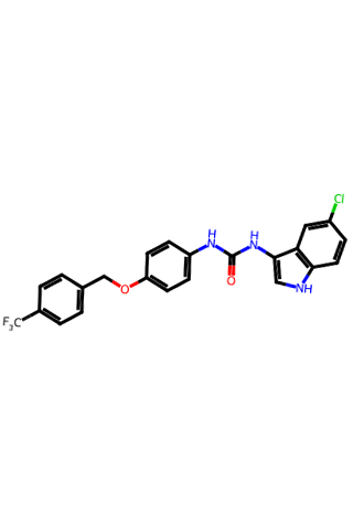 O=C(Nc1ccc(OCc2ccc(C(F)(F)F)cc2)cc1)Nc1c[nH]c2ccc(Cl)cc12